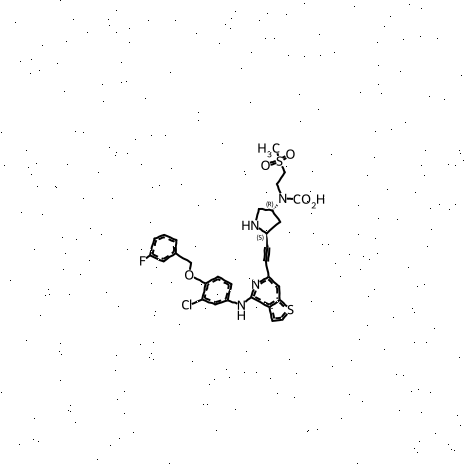 CS(=O)(=O)CCN(C(=O)O)[C@H]1CN[C@H](C#Cc2cc3sccc3c(Nc3ccc(OCc4cccc(F)c4)c(Cl)c3)n2)C1